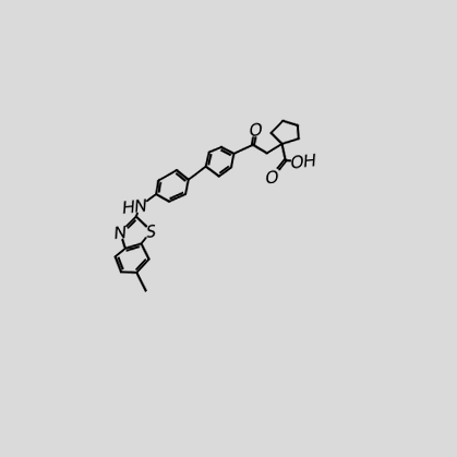 Cc1ccc2nc(Nc3ccc(-c4ccc(C(=O)CC5(C(=O)O)CCCC5)cc4)cc3)sc2c1